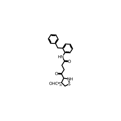 O=C[C@@H]1CSNC1C(=O)CCC(=O)Nc1ccccc1Cc1ccccc1